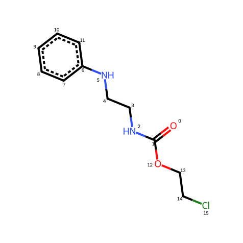 O=C(NCCNc1ccccc1)OCCCl